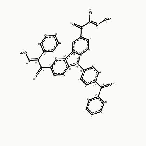 CCC(=NOC(C)=O)C(=O)c1ccc2c(c1)c1cc(C(=O)/C(=N/OC(C)=O)c3ccccc3)ccc1n2-c1ccc(C(=O)c2ccccc2)cc1